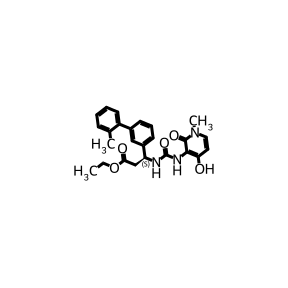 CCOC(=O)C[C@H](NC(=O)Nc1c(O)ccn(C)c1=O)c1cccc(-c2ccccc2C)c1